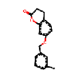 Cc1cccc(COc2ccc3c(c2)OC(=O)CC3)c1